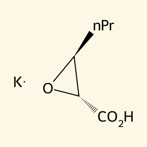 CCC[C@@H]1O[C@H]1C(=O)O.[K]